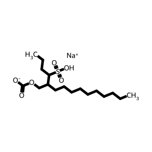 CCCCCCCCCCC(COC(=O)[O-])C(CCC)S(=O)(=O)O.[Na+]